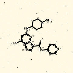 Nc1cc(NC2CCC(N)CC2)nn2c(C(=O)Nc3ccncc3)cnc12